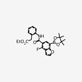 CCOC(=O)Cc1ccccc1NC(=O)c1cc(B2OC(C)(C)C(C)(C)O2)c2occc2c1F